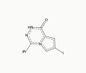 CC(C)c1n[nH]c(=O)c2cc(I)cn12